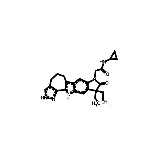 CCC1(CC)C(=O)N(CC(=O)NC2CC2)c2cc3c4c([nH]c3cc21)-c1n[nH]cc1CCC4